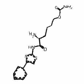 NC(=O)OCCCC[C@H](N)C(=O)Nc1nc(-c2ccccc2)cs1